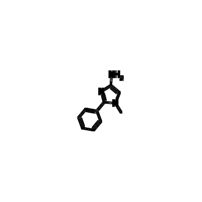 Cn1cc(N)nc1-c1ccccc1